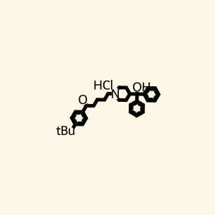 CC(C)(C)c1ccc(C(=O)CCCCN2CCC(C(O)(c3ccccc3)c3ccccc3)CC2)cc1.Cl